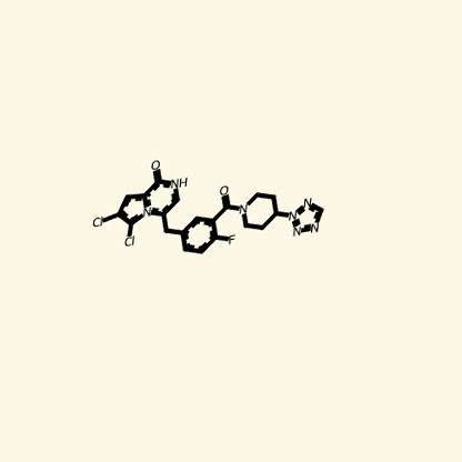 O=C(c1cc(Cc2c[nH]c(=O)c3cc(Cl)c(Cl)n23)ccc1F)N1CCC(n2ncnn2)CC1